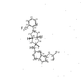 C[C@]1(Nc2cnc3cnn(CC(F)F)c3n2)C[C@H]2CN(c3ncccc3C(F)(F)F)C[C@H]2C1